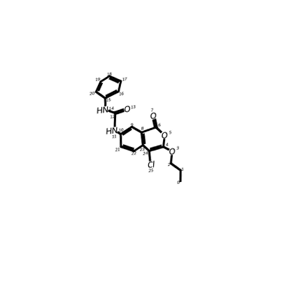 CCCOc1oc(=O)c2cc(NC(=O)Nc3ccccc3)ccc2c1Cl